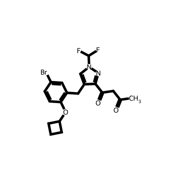 CC(=O)CC(=O)c1nn(C(F)F)cc1Cc1cc(Br)ccc1OC1CCC1